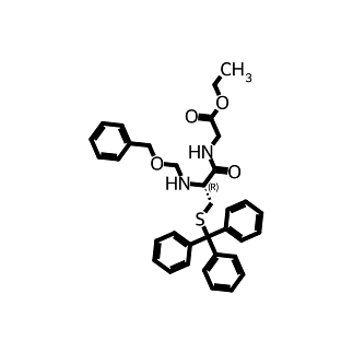 CCOC(=O)CNC(=O)[C@H](CSC(c1ccccc1)(c1ccccc1)c1ccccc1)NCOCc1ccccc1